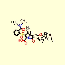 CCN(CC)C(=O)c1ccccc1S(=O)(=O)C1=C(C(=O)O)N2C(=O)[C@@H](CCO[Si](C)(C)C(C)(C)C)[C@H]2[C@H]1C